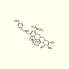 CCC1=C(C(C)(C)C)C(C(C)C)C2C(C)=C3C(Cc4c(N(C)C)cc(CNCc5ccc(O)cc5)c(C)c4C3(C)C)CC2C1